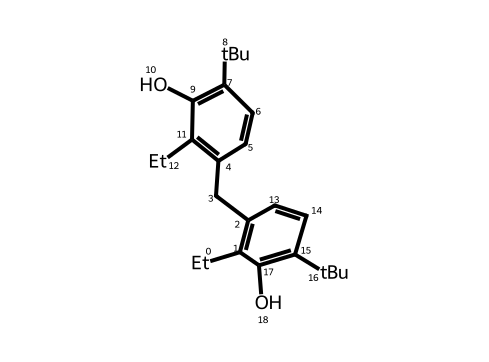 CCc1c(Cc2ccc(C(C)(C)C)c(O)c2CC)ccc(C(C)(C)C)c1O